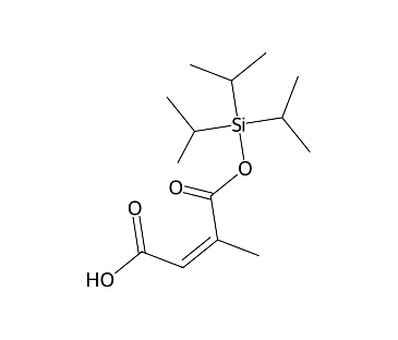 CC(=CC(=O)O)C(=O)O[Si](C(C)C)(C(C)C)C(C)C